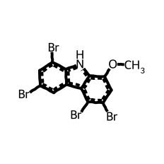 COc1cc(Br)c(Br)c2c1[nH]c1c(Br)cc(Br)cc12